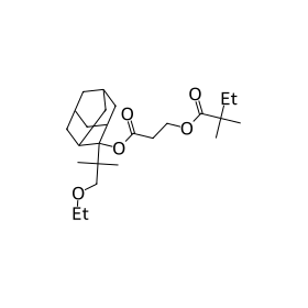 CCOCC(C)(C)C1(OC(=O)CCOC(=O)C(C)(C)CC)C2CC3CC(C2)CC1C3